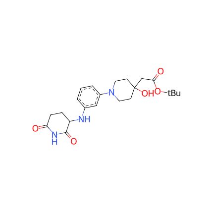 CC(C)(C)OC(=O)CC1(O)CCN(c2cccc(NC3CCC(=O)NC3=O)c2)CC1